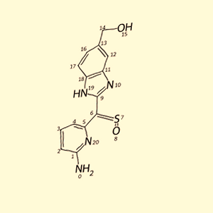 Nc1cccc(C(=S=O)c2nc3cc(CO)ccc3[nH]2)n1